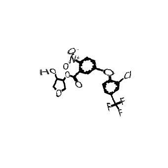 O=C(OC1COCC1O)c1cc(Oc2ccc(C(F)(F)F)cc2Cl)ccc1[N+](=O)[O-]